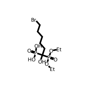 CCOP(=O)(OCC)C(O)(CCCCCBr)P(=O)(O)O